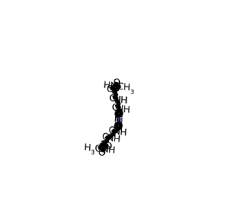 Cc1cn(CCC(=O)NCCC(=O)Nc2ccc(/N=N/c3ccc(NC(=O)CCNC(=O)CCn4cc(C)c(=O)[nH]c4=O)cc3)cc2)c(=O)[nH]c1=O